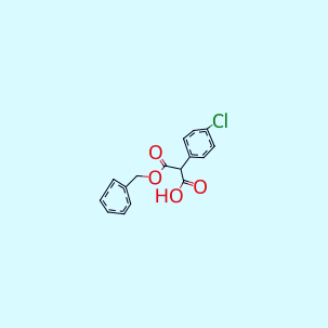 O=C(O)C(C(=O)OCc1ccccc1)c1ccc(Cl)cc1